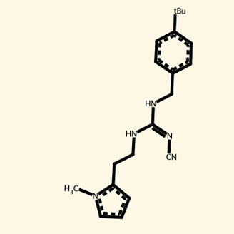 Cn1cccc1CCNC(=NC#N)NCc1ccc(C(C)(C)C)cc1